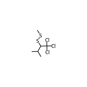 CSSC(C(C)C)C(Cl)(Cl)Cl